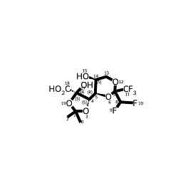 CC1(C)O[C@@H]([C@@H]2OC(C(F)F)(C(F)(F)F)OC[C@@H]2O)[C@@](O)(C(=O)O)O1